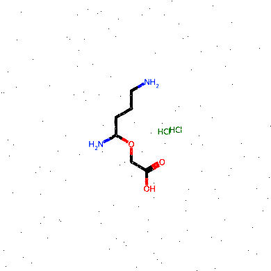 Cl.Cl.NCCCC(N)OCC(=O)O